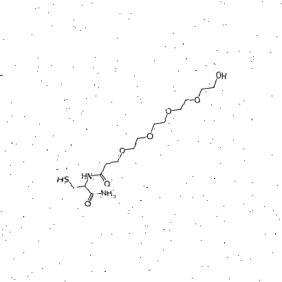 NC(=O)C(CS)NC(=O)CCOCCOCCOCCOCCO